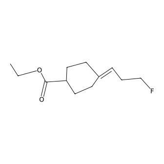 CCOC(=O)C1CCC(=CCCF)CC1